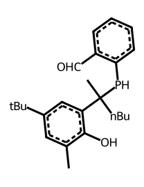 CCCCC(C)(Pc1ccccc1C=O)c1cc(C(C)(C)C)cc(C)c1O